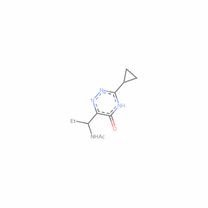 CCC(NC(C)=O)c1nnc(C2CC2)[nH]c1=O